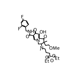 CCOP(=O)(CCCN(C)C1Cn2cc(C(=O)NCc3ccc(F)cc3F)c(=O)c(O)c2C(=O)C1(C)CCOC)OCC